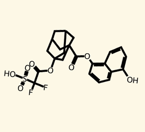 O=C(Oc1cccc2c(O)cccc12)C12CC3CC(CC(OC(=O)C(F)(F)S(=O)(=O)O)(C3)C1)C2